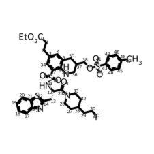 CCOC(=O)CCc1cc2c(c(S(=O)(=O)N[C@@H](Cc3nc4ccccc4s3)C(=O)N3CCC(CCF)CC3)c1)NCC(COS(=O)(=O)c1ccc(C)cc1)C2